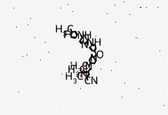 Cc1cc(Nc2ccnc(Nc3ccc(C(=O)N4CCC(N(C)Cc5cc(C#N)n(C)c5C)CC4)cc3)n2)ccc1F